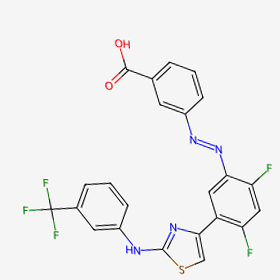 O=C(O)c1cccc(/N=N/c2cc(-c3csc(Nc4cccc(C(F)(F)F)c4)n3)c(F)cc2F)c1